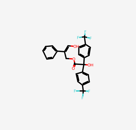 O=C(OCC(=CO)c1ccccc1)C(O)(c1ccc(C(F)(F)F)cc1)c1ccc(C(F)(F)F)cc1